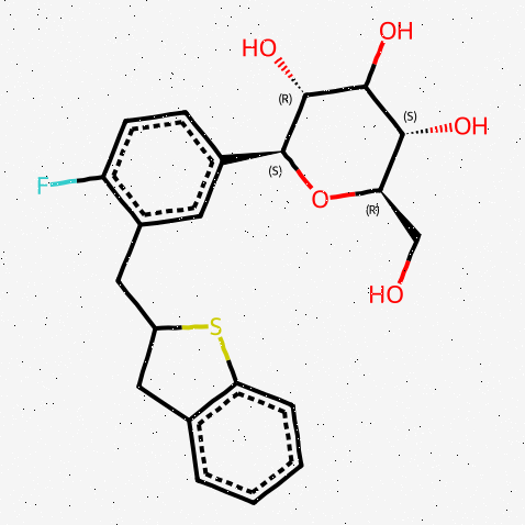 OC[C@H]1O[C@@H](c2ccc(F)c(CC3Cc4ccccc4S3)c2)[C@H](O)C(O)[C@@H]1O